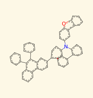 c1ccc(-c2ccccc2N(c2ccc(-c3ccc4c(c3)c(-c3ccccc3)c(-c3ccccc3)c3ccccc34)cc2)c2ccc3oc4ccccc4c3c2)cc1